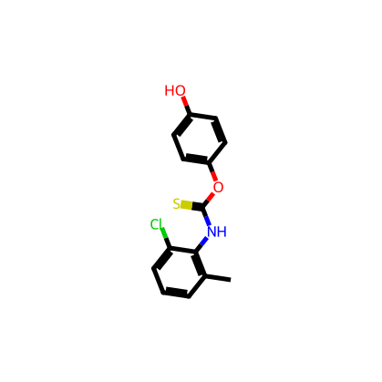 Cc1cccc(Cl)c1NC(=S)Oc1ccc(O)cc1